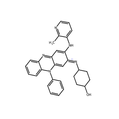 Cc1ncccc1Nc1cc2nc3ccccc3n(-c3ccccc3)c-2c/c1=N\C1CCC(O)CC1